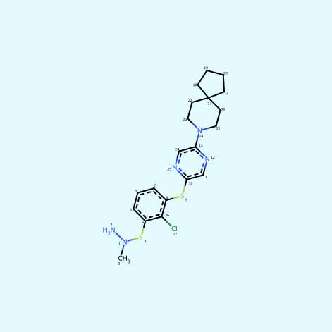 CN(N)Sc1cccc(Sc2cnc(N3CCC4(CCCC4)CC3)cn2)c1Cl